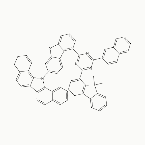 CC1(C)C2=C(CCC=C2c2nc(-c3ccc4ccccc4c3)nc(-c3cccc4sc5cc(-n6c7c8c(ccc7c7ccc9ccccc9c76)CCC=C8)ccc5c34)n2)c2ccccc21